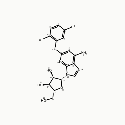 Nc1nc(Oc2cc(F)ccc2F)nc2c1ncn2[C@@H]1O[C@H](CO)[C@@H](O)[C@H]1O